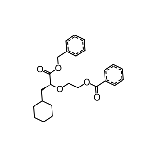 O=C(OCCO[C@@H](CC1CCCCC1)C(=O)OCc1ccccc1)c1ccccc1